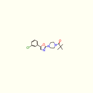 CC(C)(C)C(=O)N1CCN(c2ncc(-c3cccc(Cl)c3)o2)CC1